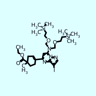 CCOC(=O)C1(C)CC=C(c2cc(N(COCC[Si](C)(C)C)COCC[Si](C)(C)C)n3ncc(I)c3n2)CC1